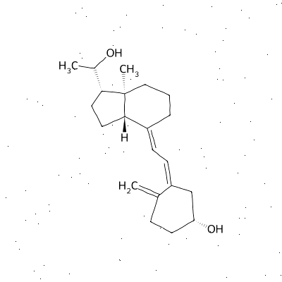 C=C1CC[C@@H](O)C/C1=C/C=C1\CCC[C@]2(C)[C@@H](C(C)O)CC[C@@H]12